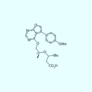 COc1ccc(-c2coc3ncnc(OC[C@H](C)OC(CC(=O)O)C(C)(C)C)c23)cc1